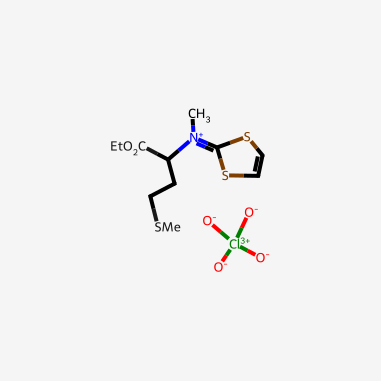 CCOC(=O)C(CCSC)[N+](C)=c1sccs1.[O-][Cl+3]([O-])([O-])[O-]